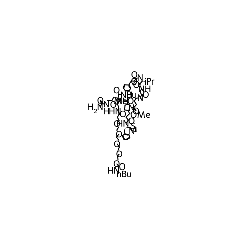 CCCCNC(=O)OCCOCCOCCOCCOCCC(=O)NCC(=O)N[C@@H](CCCNC(N)=O)C(=O)Nc1ccc(COC(=O)N(C)[C@H](C(=O)NCC(=O)N(C)C([C@@H](C)CC)[C@@H](CC(=O)N2CCCC2[C@H](OC)[C@@H](C)C(=O)N[C@@H](Cc2ccccc2)c2nccs2)OC)C(C)C)cc1